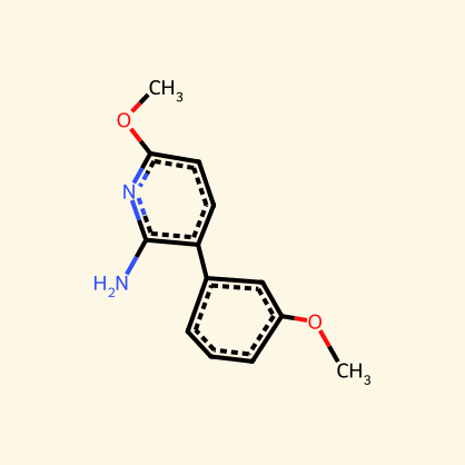 COc1cccc(-c2ccc(OC)nc2N)c1